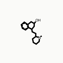 CN1CCCCC1CCC1CC(O)Cc2ccccc21